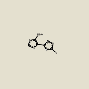 CNc1scnc1-c1nnc([S])s1